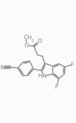 COC(=O)CCc1c(-c2ccc(C#N)cc2)[nH]c2c(F)cc(F)cc12